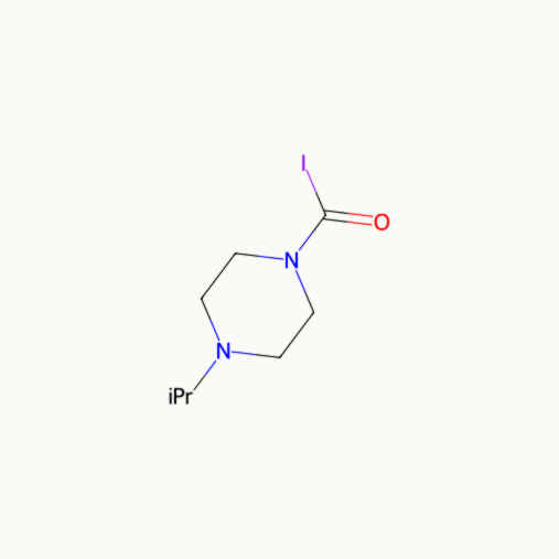 CC(C)N1CCN(C(=O)I)CC1